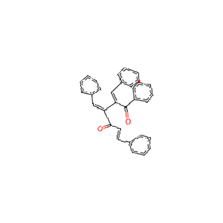 O=C(C=Cc1ccccc1)C(=Cc1ccccc1)C(=Cc1ccccc1)C(=O)c1ccccc1